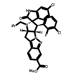 COC(=O)c1ccc2c3n(nc2c1)[C@@H]1[C@H](C3)N(CC(C)C)[C@@]2(C(=O)Nc3cc(Cl)ccc32)[C@H]1c1cccc(Cl)c1F